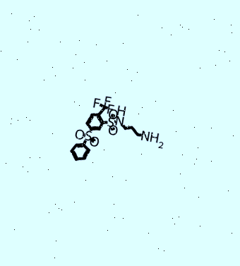 NCCCNS(=O)(=O)c1cc(S(=O)(=O)c2ccccc2)ccc1C(F)(F)F